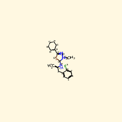 C=C(Cc1ccccc1F)NC1SC(C2CCCCC2)=NN1C